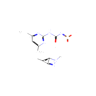 CCOC(=O)c1c2nn(C)c1-2.COc1cc(OC)nc(NC(=O)N=S(=O)=O)n1